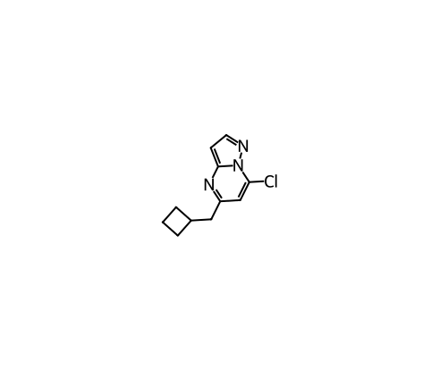 Clc1cc(CC2CCC2)nc2ccnn12